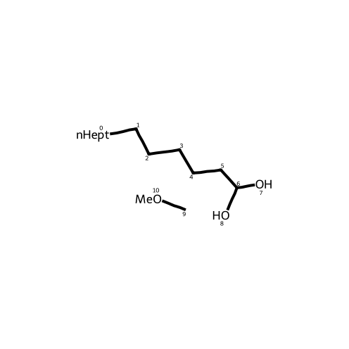 CCCCCCCCCCCCC(O)O.COC